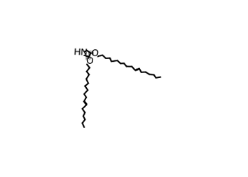 CCCCCCC=CCCCCCCCCCCO[C@@H]1CNC[C@H]1OCCCCCCCCCCC=CCCCCCC